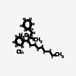 CCCCCCCCC(c1ccccc1)[N+](C)(C)Cc1ccccc1.[Cl-]